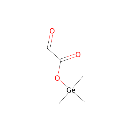 [CH3][Ge]([CH3])([CH3])[O]C(=O)C=O